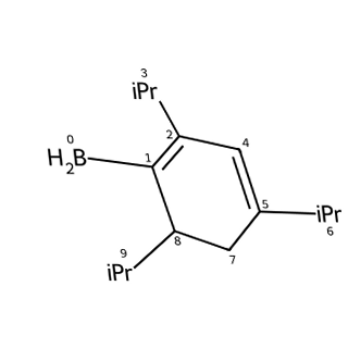 BC1=C(C(C)C)C=C(C(C)C)CC1C(C)C